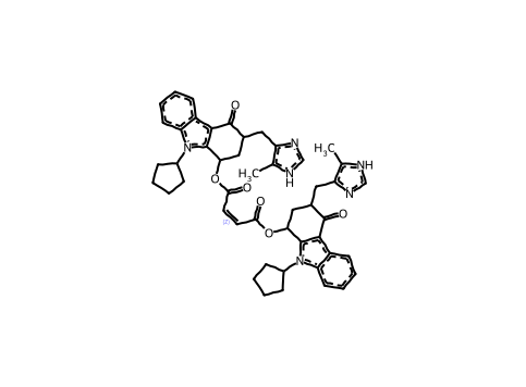 Cc1[nH]cnc1CC1CC(OC(=O)/C=C\C(=O)OC2CC(Cc3nc[nH]c3C)C(=O)c3c2n(C2CCCC2)c2ccccc32)c2c(c3ccccc3n2C2CCCC2)C1=O